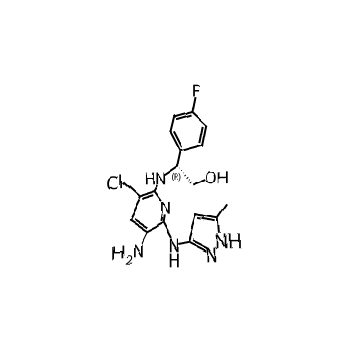 Cc1cc(Nc2nc(N[C@@H](CO)c3ccc(F)cc3)c(Cl)cc2N)n[nH]1